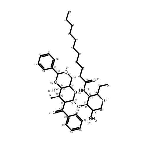 CCCCCCCCCCC(=O)N[C@H]1C(CC)OCC(N)[C@H]1O[C@H]1OC2COC(c3ccccc3)O[C@@H]2[C@H](C)C1C(=O)c1ccccc1